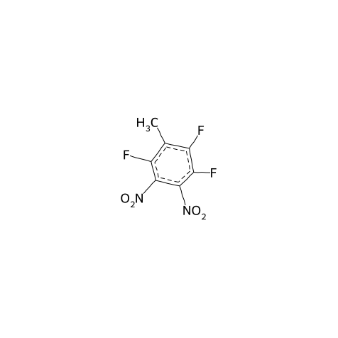 Cc1c(F)c(F)c([N+](=O)[O-])c([N+](=O)[O-])c1F